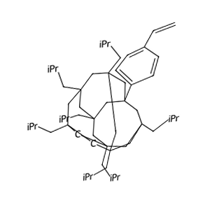 C=Cc1ccc(C23CC4(CC(C)C)CC5(CC(C)C)CC6(CC(C)C)CC(CC(C)C)(C4)CC(CC(C)C)(CC(CC(C)C)(C6)CC(CC(C)C)(C5)C2)C3)cc1